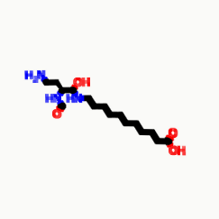 NCC[C@H](NC=O)C(O)NCCCCCCCCCCC(=O)O